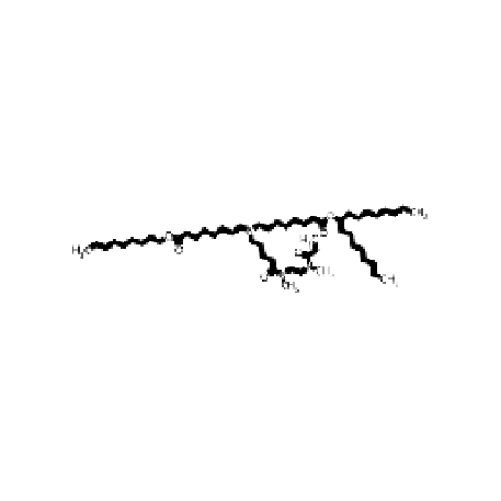 CCCCCCCCCOC(=O)CCCCCCCN(CCCCCCCC(=O)OC(CCCCCCCC)CCCCCCCC)CCCCC(=O)N(C)CCN(C)C(=O)CC